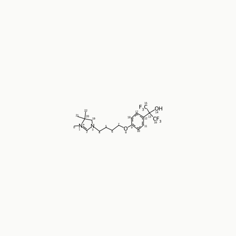 C[N+]1=CN(CCCCOc2ccc(C(O)(C(F)(F)F)C(F)(F)F)cc2)CC1(C)C